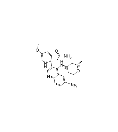 COC1=CNC(CC(N)=O)(c2cnc3ccc(C#N)cc3c2N[C@@H]2CCO[C@H](C)C2)C=C1